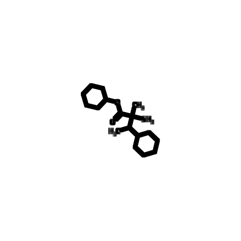 CC(C1CCCCC1)C(C)([SiH3])C(=O)OC1CCCCC1